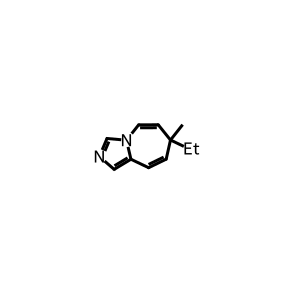 CCC1(C)C=Cc2cncn2C=C1